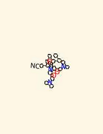 N#Cc1ccc(-c2cc3c4c(c2)-n2c5ccc6c7cc(-n8c9ccccc9c9ccccc98)ccc7oc6c5c5c6oc7ccc(-n8c9ccccc9c9ccccc98)cc7c6cc(c52)B4c2cc(-c4ccccc4-c4ccccc4)cc(-c4ccccc4-c4ccccc4)c2O3)cc1